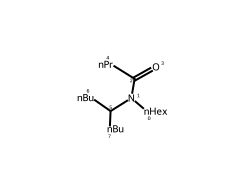 CCCCCCN(C(=O)CCC)C(CCCC)CCCC